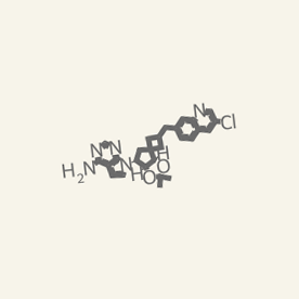 CC1(C)O[C@H]2[C@H](n3ccc4c(N)ncnc43)CC3(CC(Cc4ccc5cc(Cl)cnc5c4)C3)[C@H]2O1